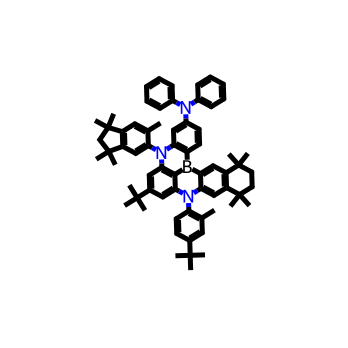 Cc1cc(C(C)(C)C)ccc1N1c2cc3c(cc2B2c4ccc(N(c5ccccc5)c5ccccc5)cc4N(c4cc5c(cc4C)C(C)(C)CC5(C)C)c4cc(C(C)(C)C)cc1c42)C(C)(C)CCC3(C)C